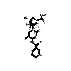 CC[C@@]12CN(C(=O)NC)[C@@H](C(n3cc(C)c(NC(=O)c4ccccc4)nc3=O)O1)[C@@H]2O